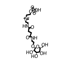 C[N+](C)(CCNC(=O)CCC(=O)NCCO[C@H]1O[C@H](CO)[C@@H](O)[C@H](O)[C@@H]1O)CCOP(=O)([O-])O